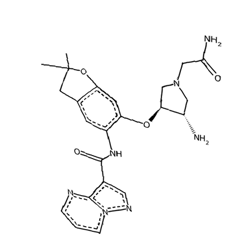 CC1(C)Cc2cc(NC(=O)c3cnn4cccnc34)c(O[C@H]3CN(CC(N)=O)C[C@@H]3N)cc2O1